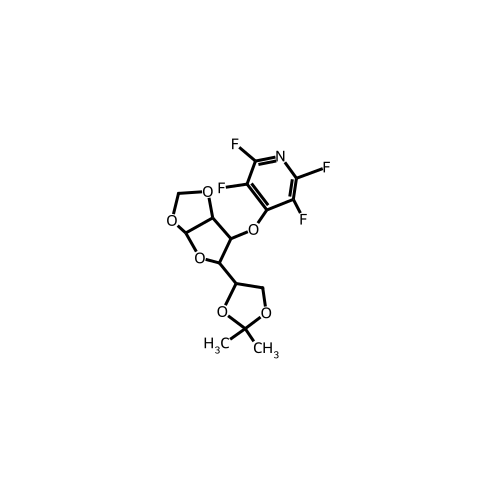 CC1(C)OCC(C2OC3OCOC3C2Oc2c(F)c(F)nc(F)c2F)O1